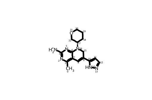 Cc1nc(N)nc2c1C=C(c1ccn[nH]1)CN2[C@@H]1CCCOC1